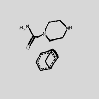 NC(=O)N1CCNCC1.c1cc2cc(c1)C2